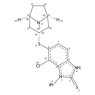 CC(C)n1c(=S)[nH]c2ccc(S[C@@H]3C[C@H]4CC[C@@H](C3)N4C)c(Cl)c21